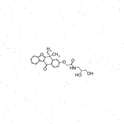 CC1(C)c2cc(OCC(=O)NCC(O)CO)ccc2C(=O)c2c1oc1ccccc21